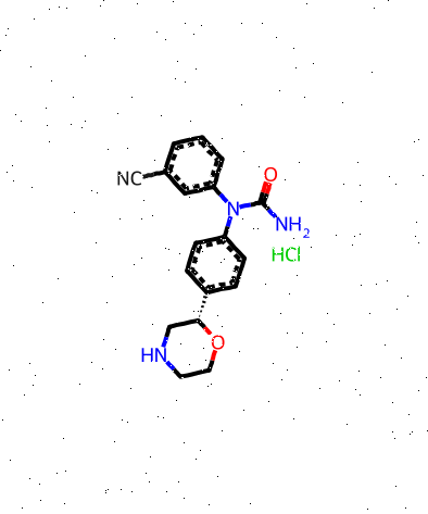 Cl.N#Cc1cccc(N(C(N)=O)c2ccc([C@H]3CNCCO3)cc2)c1